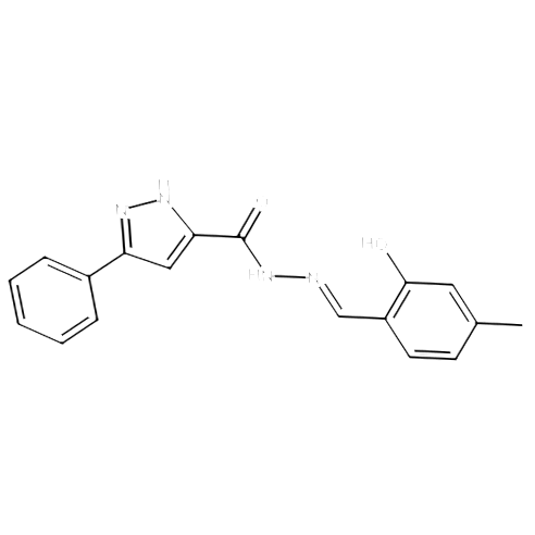 Cc1ccc(/C=N/NC(=O)c2cc(-c3ccccc3)n[nH]2)c(O)c1